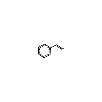 [P]=Cc1ccccc1